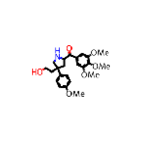 COc1ccc(C2(CCO)CNC(C(=O)c3cc(OC)c(OC)c(OC)c3)C2)cc1